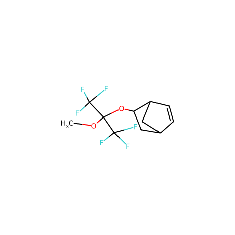 COC(OC1CC2C=CC1C2)(C(F)(F)F)C(F)(F)F